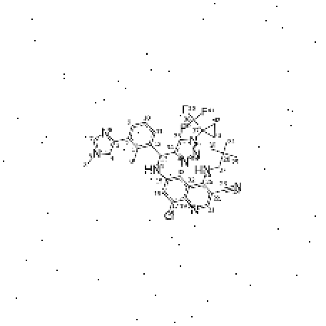 Cc1c(-c2cn(C)cn2)cccc1C(Nc1cc(Cl)c2ncc(C#N)c(NCC(C)(C)C)c2c1)c1cn(C2(C(F)(F)F)CC2)nn1